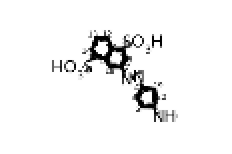 [NH]c1ccc(/N=N/c2cc(S(=O)(=O)O)c3cccc(S(=O)(=O)O)c3c2)cc1